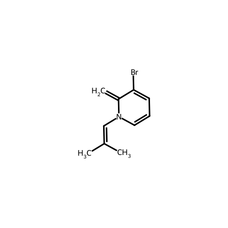 C=C1C(Br)=CC=CN1C=C(C)C